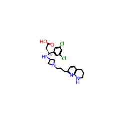 O=C(O)C[C@H](NC1CN(CCCc2ccc3c(n2)NCCC3)C1)c1cc(Cl)cc(Cl)c1